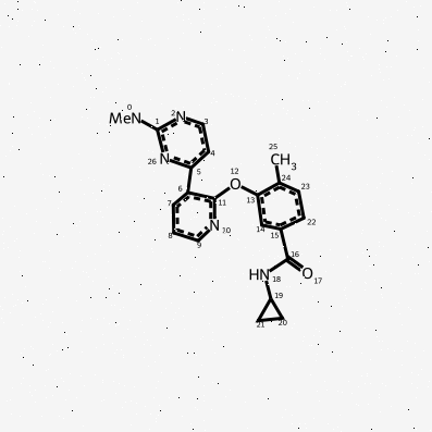 CNc1nccc(-c2cccnc2Oc2cc(C(=O)NC3CC3)ccc2C)n1